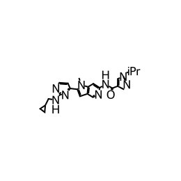 CC(C)n1cc(C(=O)Nc2cc3c(cn2)cc(-c2ccnc(NCC4CC4)n2)n3C)cn1